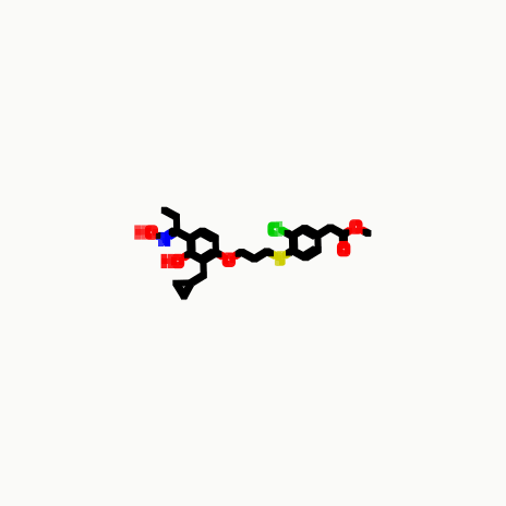 CCC(=NO)c1ccc(OCCCSc2ccc(CC(=O)OC)cc2Cl)c(CC2CC2)c1O